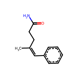 CC(=Cc1ccccc1)CCC(N)=O